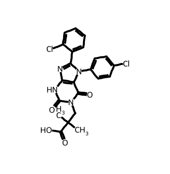 CC(C)(Cn1c(=O)[nH]c2nc(-c3ccccc3Cl)n(-c3ccc(Cl)cc3)c2c1=O)C(=O)O